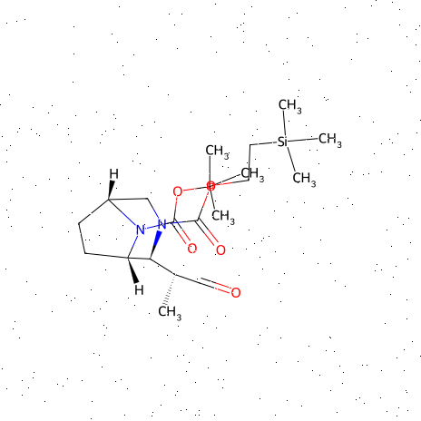 C[C@@H](C=O)[C@H]1[C@@H]2CC[C@H](CN1C(=O)OCC[Si](C)(C)C)N2C(=O)OC(C)(C)C